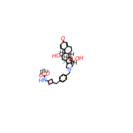 CC(C)(C)OC(=O)NC12CC(Cc3ccc(CN4C[C@@H]5C[C@H]6[C@@H]7CCC8=CC(=O)C=C[C@]8(C)[C@H]7[C@@H](O)C[C@]6(C)[C@]5(C(=O)CO)C4)cc3)(C1)C2